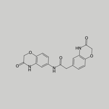 O=C(Cc1ccc2c(c1)NC(=O)CO2)Nc1ccc2c(c1)NC(=O)CO2